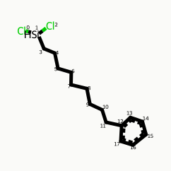 Cl[SiH](Cl)CCCCCCCCCc1ccccc1